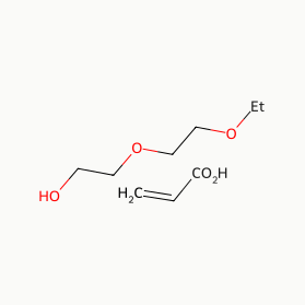 C=CC(=O)O.CCOCCOCCO